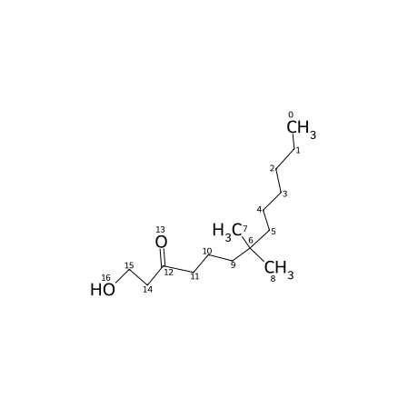 CCCCCCC(C)(C)CCCC(=O)CCO